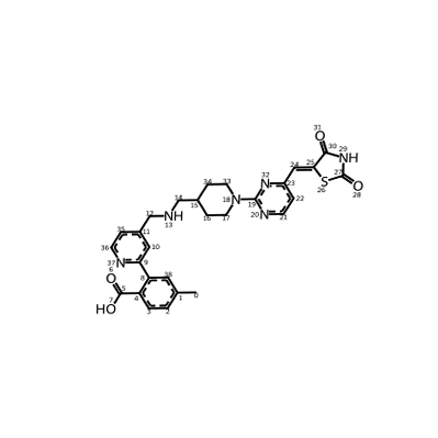 Cc1ccc(C(=O)O)c(-c2cc(CNCC3CCN(c4nccc(/C=C5\SC(=O)NC5=O)n4)CC3)ccn2)c1